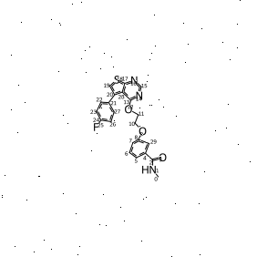 CNC(=O)c1cccc(OCCOc2ncnc3scc(-c4ccc(F)cc4)c23)c1